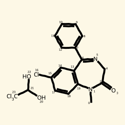 CN1C(=O)CN=C(c2ccccc2)c2cc(Cl)ccc21.OC(O)C(Cl)(Cl)Cl